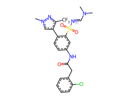 CN(C)/C=N/S(=O)(=O)c1cc(NC(=O)Cc2ccccc2Cl)ccc1-c1cn(C)nc1C(F)(F)F